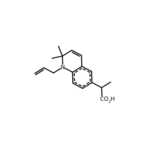 C=CCN1c2ccc(C(C)C(=O)O)cc2C=CC1(C)C